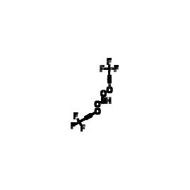 FC(F)(F)C#COOBOOC#CC(F)(F)F